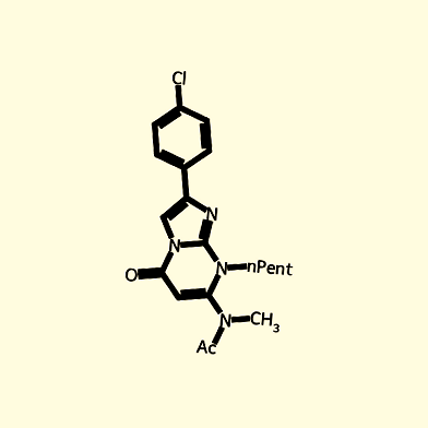 CCCCCn1c(N(C)C(C)=O)cc(=O)n2cc(-c3ccc(Cl)cc3)nc12